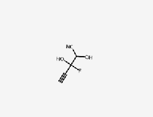 C#CC(O)(F)C(O)C#N